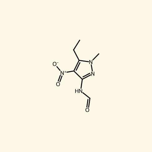 CCc1c([N+](=O)[O-])c(NC=O)nn1C